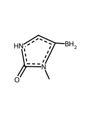 Bc1c[nH]c(=O)n1C